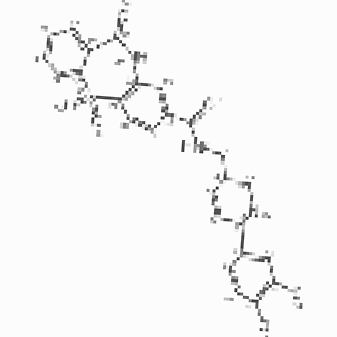 O=C(NCc1ccc(-c2ccc(O)c(Cl)c2)nc1)c1ccc2c(c1)NC(=O)c1ccccc1S2(=O)=O